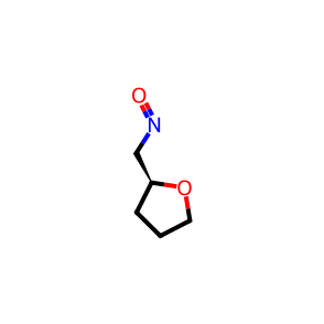 O=NC[C@@H]1CCCO1